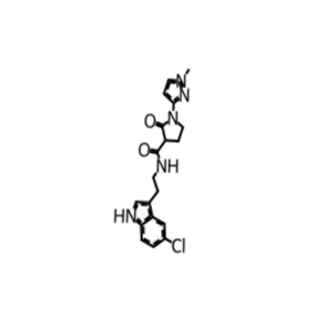 Cn1ccc(N2CCC(C(=O)NCCc3c[nH]c4ccc(Cl)cc34)C2=O)n1